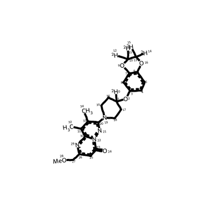 [2H]C1(Oc2ccc3c(c2)OC([2H])([2H])C([2H])([2H])O3)CCN(c2nn3c(=O)cc(COC)nc3c(C)c2C)CC1